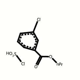 CCCOC(=O)c1cccc(Cl)c1.O=S(=O)(O)Cl